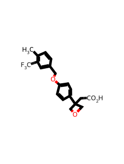 Cc1ccc(COc2ccc(C3(CC(=O)O)COC3)cc2)cc1C(F)(F)F